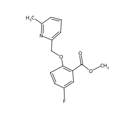 COC(=O)c1cc(F)ccc1OCc1cccc(C)n1